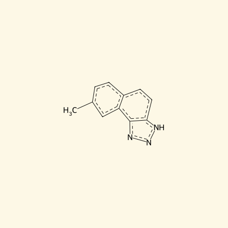 Cc1ccc2ccc3[nH]nnc3c2c1